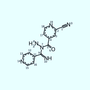 N#Cc1cc(C(=O)N(N)C(=N)c2ccncc2)ccn1